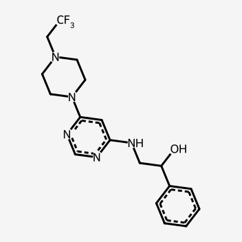 OC(CNc1cc(N2CCN(CC(F)(F)F)CC2)ncn1)c1ccccc1